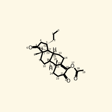 CCC[C@H]1CC(=O)[C@@]2(C)CC[C@H]3[C@@H](CCC4=C(OC(C)=O)C(=O)CC[C@@]43C)[C@H]12